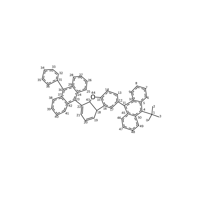 CC(C)(C)c1c2ccccc2c(-c2ccc3c(c2)C2C=CC=C(c4c5ccccc5c(-c5ccccc5)c5ccccc45)C2O3)c2ccccc12